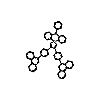 C1=C(c2ccc(-c3cc4ccccc4c4ccccc34)cc2)C(c2ccc(-c3cc4ccccc4c4ccccc34)cc2)=C[Si]12c1ccccc1B(c1ccccc1)c1ccccc12